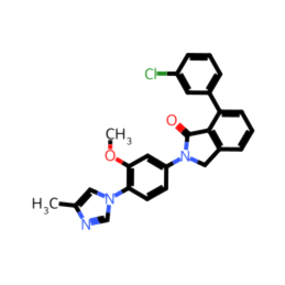 COc1cc(N2Cc3cccc(-c4cccc(Cl)c4)c3C2=O)ccc1-n1cnc(C)c1